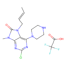 CC=CCn1c(=O)n(C)c2nc(Cl)nc(N3CCNCC3)c21.O=C(O)C(F)(F)F